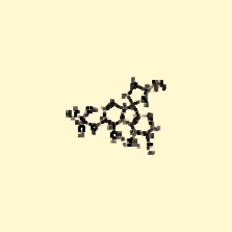 Bc1cc(C2(c3ccc(OS(C)(=O)=O)c(C)c3)COC(N)=N2)ccc1F